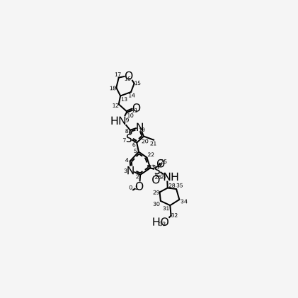 COc1ncc(-c2sc(NC(=O)CC3CCOCC3)nc2C)cc1S(=O)(=O)NC1CCC(CO)CC1